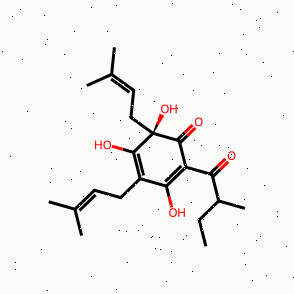 CCC(C)C(=O)C1=C(O)C(CC=C(C)C)=C(O)[C@](O)(CC=C(C)C)C1=O